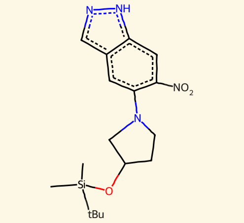 CC(C)(C)[Si](C)(C)OC1CCN(c2cc3cn[nH]c3cc2[N+](=O)[O-])C1